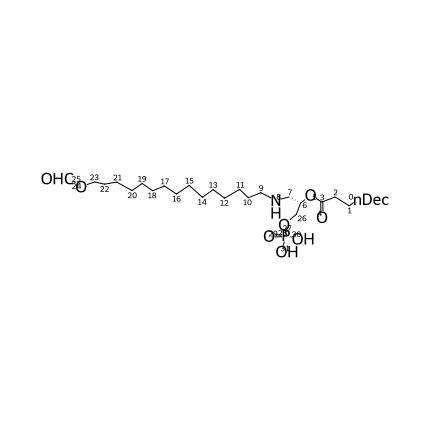 CCCCCCCCCCCCC(=O)O[C@@H](CNCCCCCCCCCCCCCCCOC=O)COP(=O)(O)O